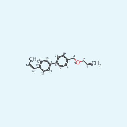 C=CCOCc1ccc(-c2ccc(/C=C\C)cc2)cc1